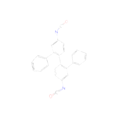 O=C=Nc1ccc(-c2ccc(N=C=O)cc2-c2ccccc2)c(-c2ccccc2)c1